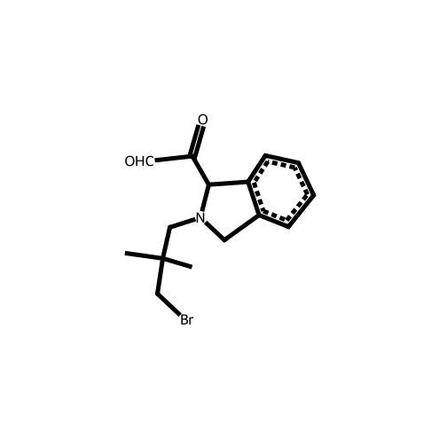 CC(C)(CBr)CN1Cc2ccccc2C1C(=O)C=O